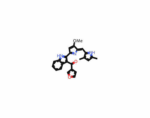 COC1=CC(c2[nH]c3ccccc3c2C(=O)c2ccoc2)=NC1=Cc1[nH]c(C)cc1C